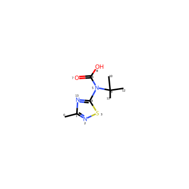 Cc1nsc(N(C(=O)O)C(C)(C)C)n1